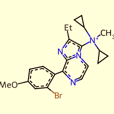 CCc1nc2c(-c3ccc(OC)cc3Br)nccn2c1[N+](C)(C1CC1)C1CC1